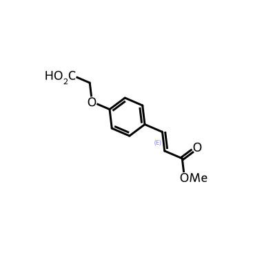 COC(=O)/C=C/c1ccc(OCC(=O)O)cc1